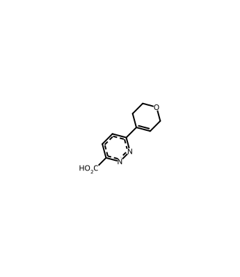 O=C(O)c1ccc(C2=CCOCC2)nn1